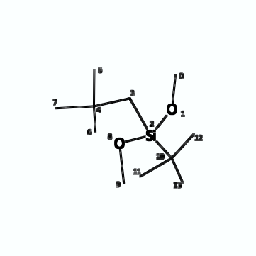 CO[Si](CC(C)(C)C)(OC)C(C)(C)C